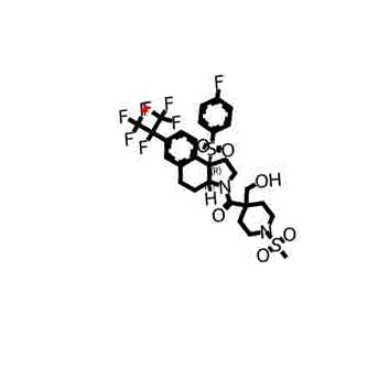 CS(=O)(=O)N1CCC(CO)(C(=O)N2CC[C@@]3(S(=O)(=O)c4ccc(F)cc4)c4ccc(C(F)(C(F)(F)F)C(F)(F)F)cc4CC[C@@H]23)CC1